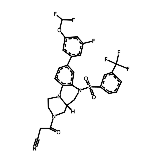 N#CCC(=O)N1CCN2c3ccc(-c4cc(F)cc(OC(F)F)c4)cc3N(S(=O)(=O)c3cccc(C(F)(F)F)c3)C[C@@H]2C1